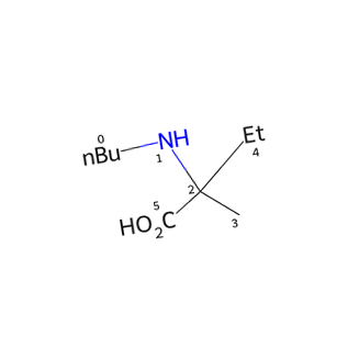 CCCCNC(C)(CC)C(=O)O